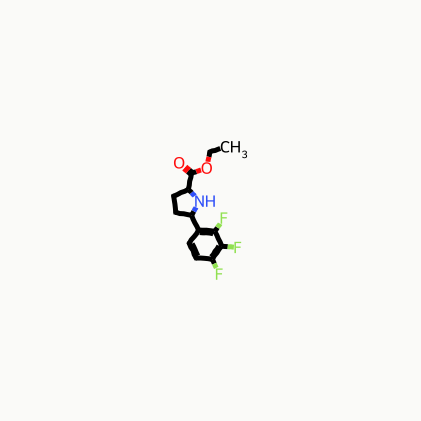 CCOC(=O)C1CCC(c2ccc(F)c(F)c2F)N1